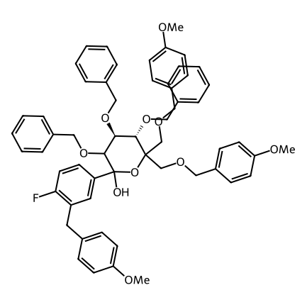 COc1ccc(COCC2(COCc3ccc(OC)cc3)OC(O)(c3ccc(F)c(Cc4ccc(OC)cc4)c3)C(OCc3ccccc3)[C@@H](OCc3ccccc3)[C@@H]2OCc2ccccc2)cc1